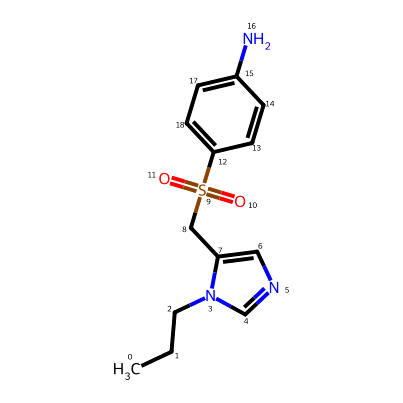 CCCn1cncc1CS(=O)(=O)c1ccc(N)cc1